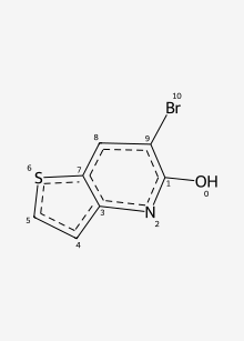 Oc1nc2ccsc2cc1Br